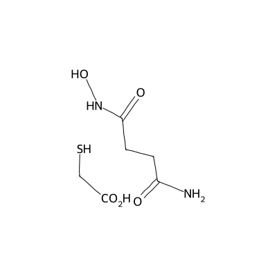 NC(=O)CCC(=O)NO.O=C(O)CS